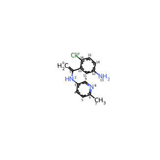 C=C(Nc1ccc(C)nc1)c1cc(N)ccc1Cl